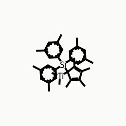 CC1=C(C)[C]([Ti]([CH3])[CH3])([Si](c2cc(C)cc(C)c2)(c2cc(C)cc(C)c2)c2cc(C)cc(C)c2)C(C)=C1C